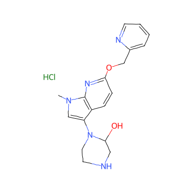 Cl.Cn1cc(N2CCNCC2O)c2ccc(OCc3ccccn3)nc21